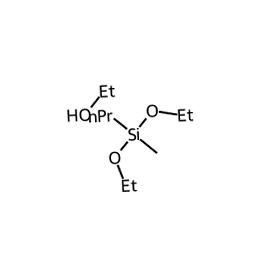 CCC[Si](C)(OCC)OCC.CCO